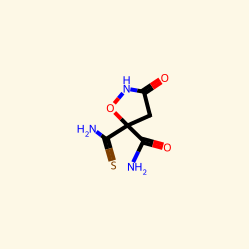 NC(=O)C1(C(N)=S)CC(=O)NO1